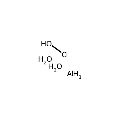 O.O.OCl.[AlH3]